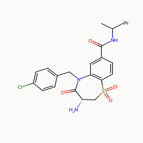 CC(C)C(C)NC(=O)c1ccc2c(c1)N(Cc1ccc(Cl)cc1)C(=O)[C@@H](N)CS2(=O)=O